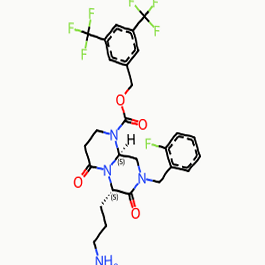 NCCC[C@H]1C(=O)N(Cc2ccccc2F)C[C@@H]2N(C(=O)OCc3cc(C(F)(F)F)cc(C(F)(F)F)c3)CCC(=O)N21